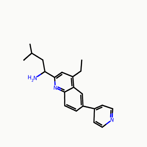 CCc1cc(C(N)CC(C)C)nc2ccc(-c3ccncc3)cc12